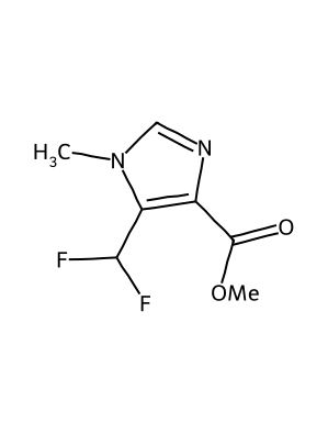 COC(=O)c1ncn(C)c1C(F)F